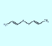 CC=COOC=CC